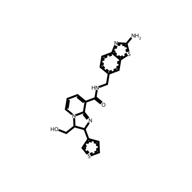 Nc1nc2ccc(CNC(=O)C3=CC=CN4C3=NC(c3ccsc3)C4CO)cc2s1